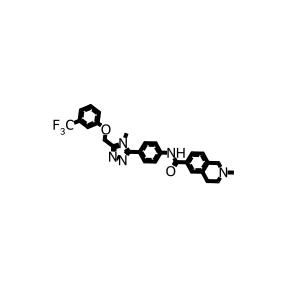 CN1CCc2cc(C(=O)Nc3ccc(-c4nnc(COc5cccc(C(F)(F)F)c5)n4C)cc3)ccc2C1